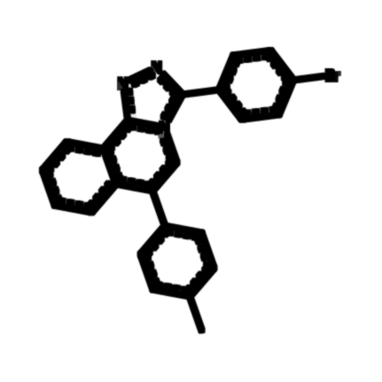 Cc1ccc(-c2cn3c(-c4ccc(Br)cc4)nnc3c3ccccc23)cc1